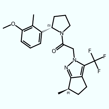 COc1cccc([C@@H]2CCCN2C(=O)Cn2nc3c(c2C(F)(F)F)CC[C@H]3C)c1C